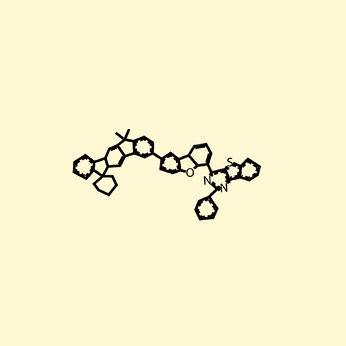 CC1(C)C2=CC3c4ccccc4C4(CCCCC4)C3C=C2c2cc(-c3ccc4c(c3)C3C=CC=C(c5nc(-c6ccccc6)nc6c5sc5ccccc56)C3O4)ccc21